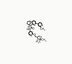 Cc1cc(-c2ccc3c(n2)N(C(=O)Nc2ccnc(OCC4COC(C)(C)O4)c2)[C@H]2CCN3C2)ccn1